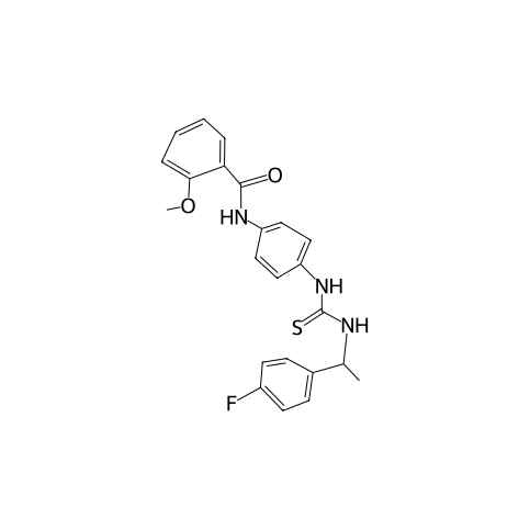 COc1ccccc1C(=O)Nc1ccc(NC(=S)NC(C)c2ccc(F)cc2)cc1